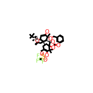 C=CC[C@]1(C)[C@@H](O[Si](C)(C)C(C)(C)C)C=C2OC[C@@]2(OCc2ccccc2)[C@H]1[C@@H]1OC(=O)OC12CCC(C)=C(OS(=O)(=O)C(F)(F)F)C2(C)C